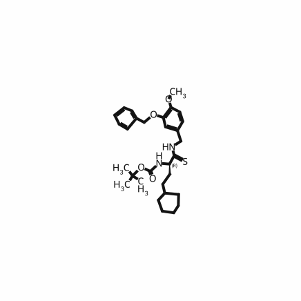 COc1ccc(CNC(=S)[C@@H](CCC2CCCCC2)NC(=O)OC(C)(C)C)cc1OCc1ccccc1